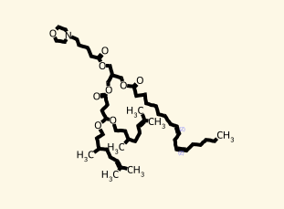 CCCCC/C=C\C/C=C\CCCCCCCC(=O)OCC(COC(=O)CCCCN1CCOCC1)COC(=O)CCC(OCCC(C)CCC=C(C)C)OCCC(C)CCC=C(C)C